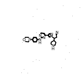 N#CCC(C1CCNCC1)n1cc(-c2ccnc(Nc3ccc(N4CCOCC4)cc3)n2)cn1